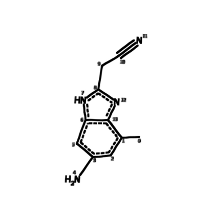 Cc1cc(N)cc2[nH]c(CC#N)nc12